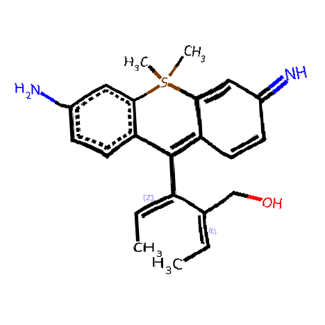 C/C=C(C1=C2C=CC(=N)C=C2S(C)(C)c2cc(N)ccc21)\C(=C/C)CO